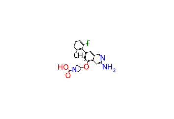 Cc1cccc(F)c1-c1cc(OC2CN(C(=O)O)C2)c2cc(N)ncc2c1